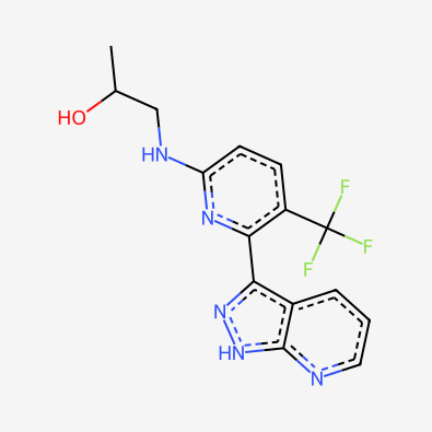 CC(O)CNc1ccc(C(F)(F)F)c(-c2n[nH]c3ncccc23)n1